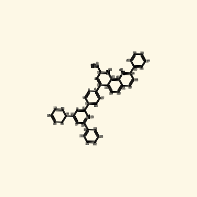 CC(C)(C)c1cc(-c2ccc(-c3cc(C4C=CC=CC4)cc(-c4ccccc4)n3)cc2)c2ccc3ccc(-c4ccccc4)nc3c2n1